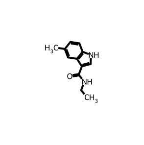 CCNC(=O)c1c[nH]c2ccc(C)cc12